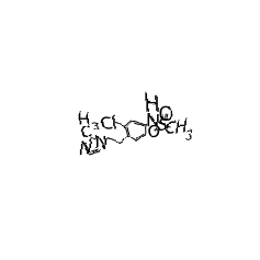 Cc1nccn1CCc1ccc(NS(C)(=O)=O)cc1Cl